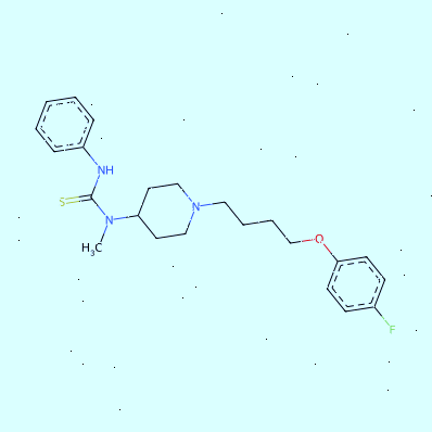 CN(C(=S)Nc1ccccc1)C1CCN(CCCCOc2ccc(F)cc2)CC1